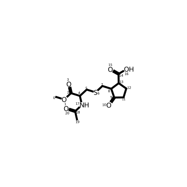 COC(=O)C(CSCC1C(=O)CCC1C(=O)O)NC(C)=O